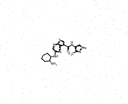 Cn1cc(NC(=O)c2csc3ncc(N[C@@H]4CCCC[C@@H]4N)nc23)c(C(F)(F)F)n1